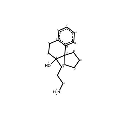 NCCCC1(O)CCc2ccccc2C12CCCC2